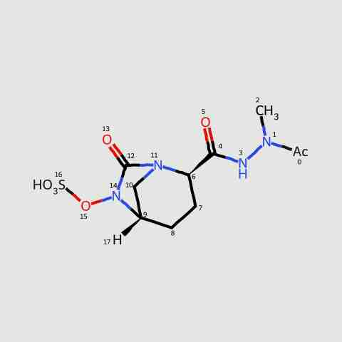 CC(=O)N(C)NC(=O)[C@H]1CC[C@H]2CN1C(=O)N2OS(=O)(=O)O